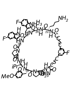 COc1ccc(C[C@@H]2NC(=O)[C@H](C(C)C)NC(=O)[C@@H]3CCCN3C(=O)[C@H](Cc3c[nH]c4ccc(F)cc34)NC(=O)[C@H](Cc3c[nH]c4ccc(F)cc34)NC(=O)[C@@H](C)NC(=O)[C@H](CCCCN)NC(=O)CCSCc3cc(F)cc(c3)CSC[C@@H](C(N)=O)NC(=O)[C@]3(C)CCCN3C2=O)cc1